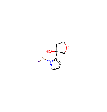 OC1(c2cccn2SI)CCOC1